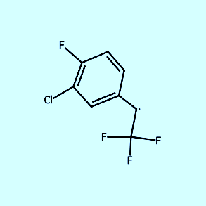 Fc1ccc([CH]C(F)(F)F)cc1Cl